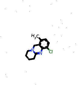 Cc1ccc(Cl)c2c1CN1CCCCC1=N2